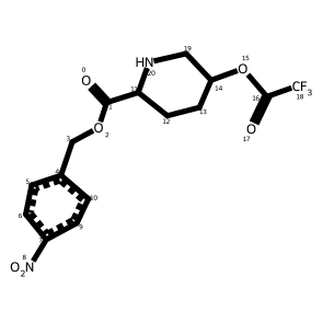 O=C(OCc1ccc([N+](=O)[O-])cc1)C1CCC(OC(=O)C(F)(F)F)CN1